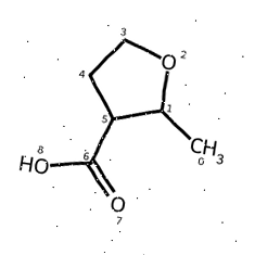 CC1OCCC1C(=O)O